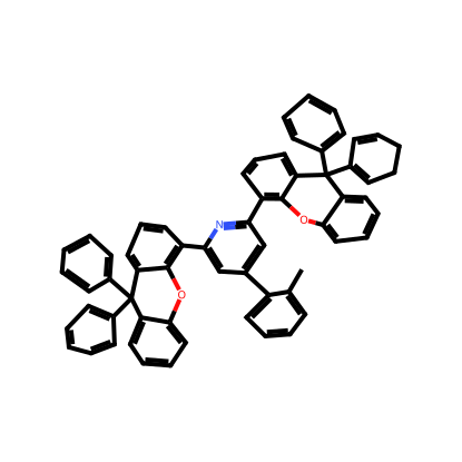 Cc1ccccc1-c1cc(-c2cccc3c2Oc2ccccc2C3(C2=CCCC=C2)c2ccccc2)nc(-c2cccc3c2Oc2ccccc2C3(c2ccccc2)c2ccccc2)c1